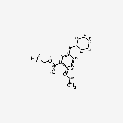 CCOC(=O)c1cc(CC2CCOCC2)cnc1OCC